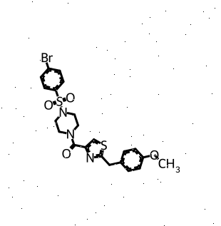 COc1ccc(Cc2nc(C(=O)N3CCN(S(=O)(=O)c4ccc(Br)cc4)CC3)cs2)cc1